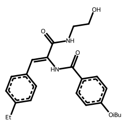 CCc1ccc(C=C(NC(=O)c2ccc(OCC(C)C)cc2)C(=O)NCCO)cc1